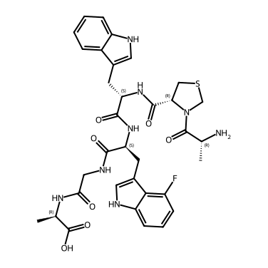 C[C@@H](N)C(=O)N1CSC[C@H]1C(=O)N[C@@H](Cc1c[nH]c2ccccc12)C(=O)N[C@@H](Cc1c[nH]c2cccc(F)c12)C(=O)NCC(=O)N[C@H](C)C(=O)O